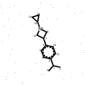 CC(C)c1ccc(C2CN(C3CC3)C2)cc1